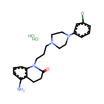 Cl.Cl.Nc1cccc2c1CCC(=O)N2CCCN1CCN(c2cccc(Cl)c2)CC1